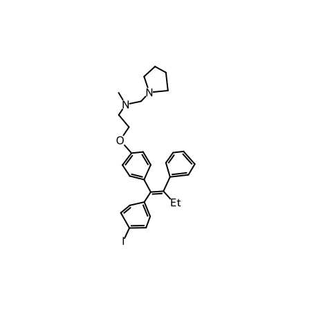 CC/C(=C(\c1ccc(I)cc1)c1ccc(OCCN(C)CN2CCCC2)cc1)c1ccccc1